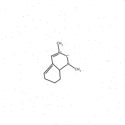 CN1[CH-][N+](C)=CC2=CCCCC21